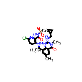 Cc1cc([C@@H](C)Nc2ccc(Cl)nc2C(=O)NS(C)(=O)=O)c2nc(NCC3CC3)n(C)c(=O)c2c1